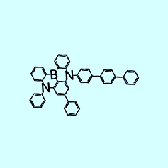 c1ccc(-c2ccc(-c3ccc(N4c5ccccc5B5c6ccccc6N(c6ccccc6)c6cc(-c7ccccc7)cc4c65)cc3)cc2)cc1